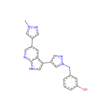 Cn1cc(-c2cnc3[nH]cc(-c4cnn(Cc5cccc(O)c5)c4)c3c2)cn1